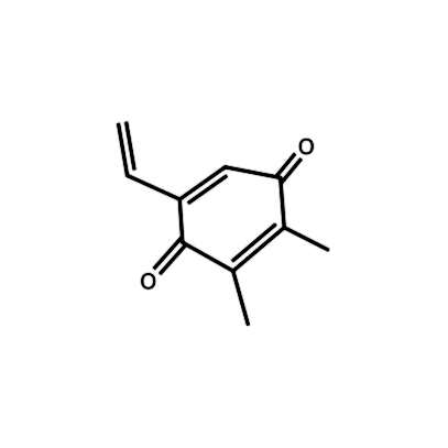 C=CC1=CC(=O)C(C)=C(C)C1=O